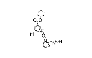 O=C(OC1CCCCC1)c1ccc[n+](COC[n+]2ccccc2C=NO)c1.[I-].[I-]